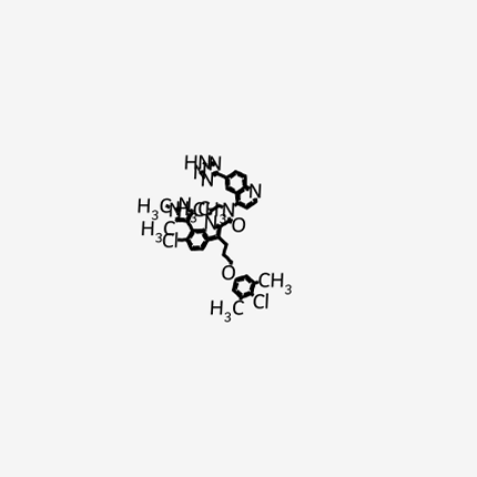 Cc1cc(OCCCc2c3n(c4c(-c5c(C)nn(C)c5C)c(Cl)ccc24)C(C)CN(c2ccnc4ccc(-c5nn[nH]n5)cc24)C3=O)cc(C)c1Cl